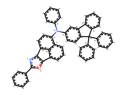 c1ccc(-c2nc3c(o2)-c2cccc4c(N(c5ccccc5)c5ccc6c(c5)-c5ccccc5C6(c5ccccc5)c5ccccc5)ccc-3c24)cc1